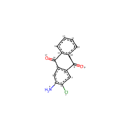 Nc1cc2c(cc1Cl)C(=O)c1ccccc1C2=O